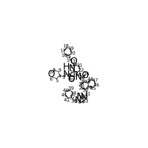 O=C(NCC1CCOCC1)c1nc(OCc2ccccc2)ccc1NC(=O)c1ccc(Cn2cc[n+](Cc3ccccc3)n2)c2ccccc12